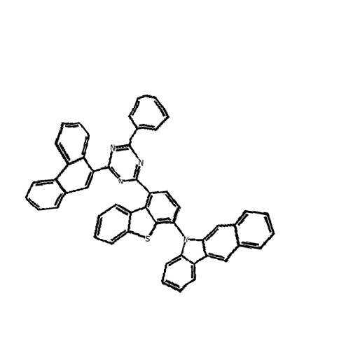 c1ccc(-c2nc(-c3cc4ccccc4c4ccccc34)nc(-c3ccc(-n4c5ccccc5c5cc6ccccc6cc54)c4sc5ccccc5c34)n2)cc1